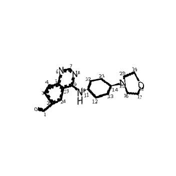 C=Cc1ccc2ncnc(N[C@H]3CC[C@H](N4CCOCC4)CC3)c2c1